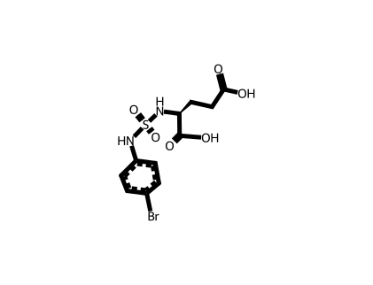 O=C(O)CC[C@H](NS(=O)(=O)Nc1ccc(Br)cc1)C(=O)O